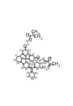 C=C(C)C(=O)OCCOc1ccc(C2(c3ccc(OCCOC(=O)C(=C)C)cc3)c3ccccc3-c3ccc([S+](c4ccccc4)c4ccccc4)cc32)cc1